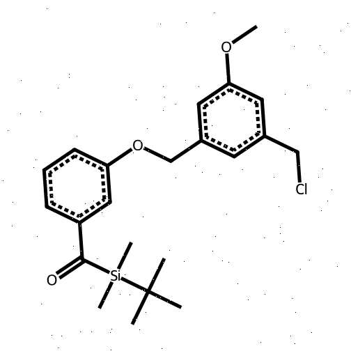 COc1cc(CCl)cc(COc2cccc(C(=O)[Si](C)(C)C(C)(C)C)c2)c1